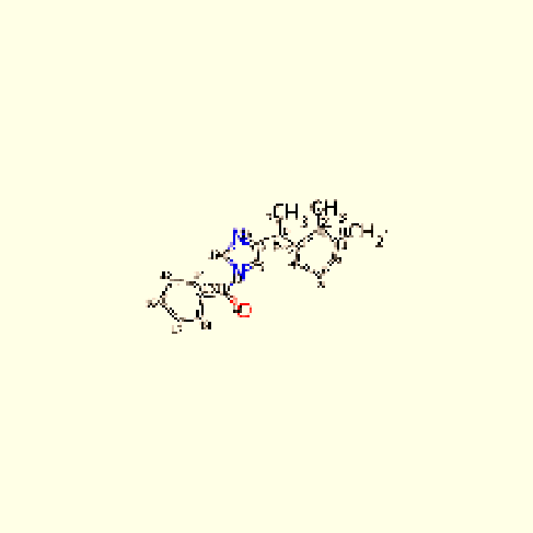 [CH2]c1cccc([C@H](C)c2cn(C(=O)c3ccccc3)cn2)c1C